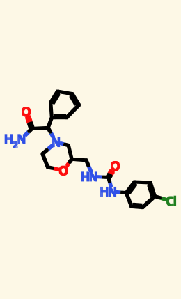 NC(=O)C(c1ccccc1)N1CCOC(CNC(=O)Nc2ccc(Cl)cc2)C1